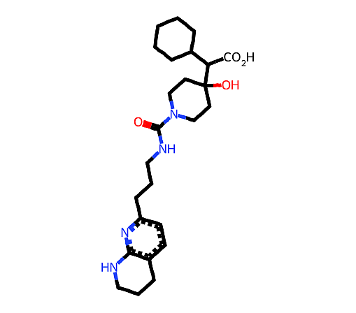 O=C(O)C(C1CCCCC1)C1(O)CCN(C(=O)NCCCc2ccc3c(n2)NCCC3)CC1